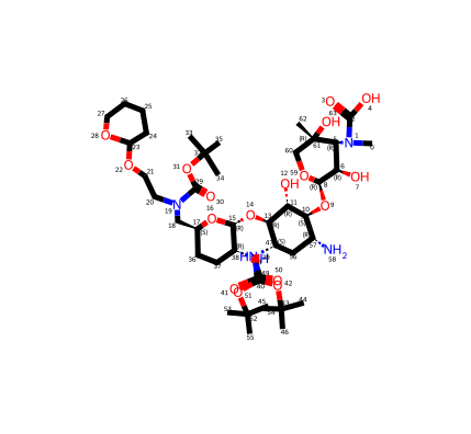 CN(C(=O)O)[C@@H]1[C@@H](O)[C@@H](O[C@@H]2[C@@H](O)[C@H](O[C@H]3O[C@H](CN(CCOC4CCCCO4)C(=O)OC(C)(C)C)CC[C@H]3NC(=O)OC(C)(C)C)[C@@H](NC(=O)OC(C)(C)C)C[C@H]2N)OC[C@]1(C)O